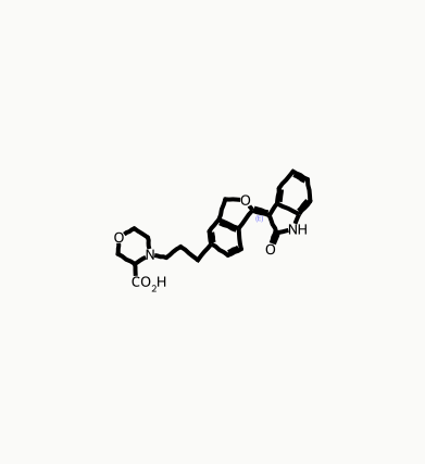 O=C1Nc2ccccc2/C1=C1\OCc2cc(CCCN3CCOCC3C(=O)O)ccc21